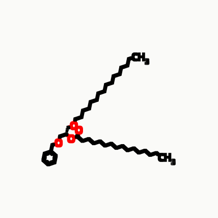 CCCCCCCCCCCCCCCCOC[C@@H](COCc1ccccc1)OC(=O)CCCCCCCCCCCCCCC